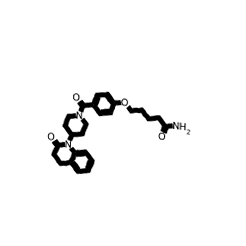 NC(=O)CCCCOc1ccc(C(=O)N2CCC(N3C(=O)CCc4ccccc43)CC2)cc1